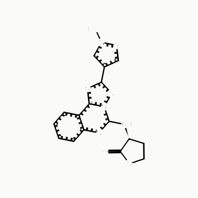 Cn1cc(-c2nc3c4ccccc4nc(N[C@H]4CCNC4=O)n3n2)cn1